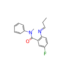 CC/C=N/c1ccc(F)cc1C(=O)N(C)c1ccccc1